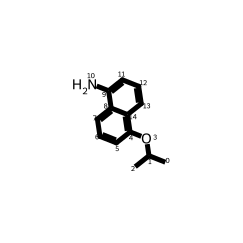 CC(C)Oc1cccc2c(N)cccc12